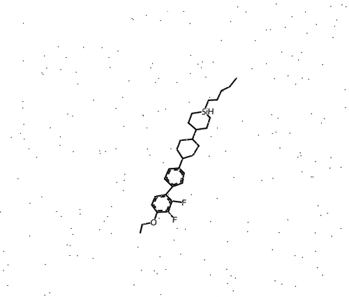 CCCCC[SiH]1CCC(C2CCC(c3ccc(-c4ccc(OCC)c(F)c4F)cc3)CC2)CC1